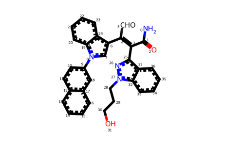 NC(=O)/C(=C(\C=O)c1cn(-c2ccc3ccccc3c2)c2ccccc12)c1nn(CCCO)c2ccccc12